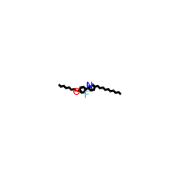 CCCCCCCCCCc1ccc(-c2ccc(OCCCCCCC)cc2F)nc1